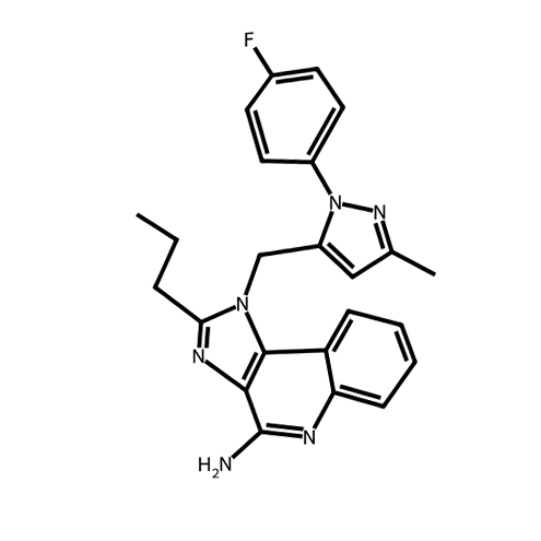 CCCc1nc2c(N)nc3ccccc3c2n1Cc1cc(C)nn1-c1ccc(F)cc1